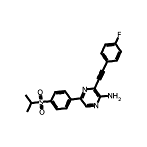 CC(C)S(=O)(=O)c1ccc(-c2cnc(N)c(C#Cc3ccc(F)cc3)n2)cc1